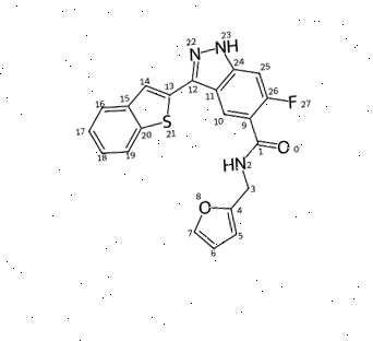 O=C(NCc1ccco1)c1cc2c(-c3cc4ccccc4s3)n[nH]c2cc1F